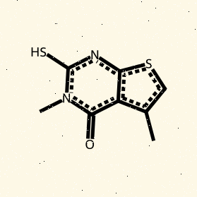 Cc1csc2nc(S)n(C)c(=O)c12